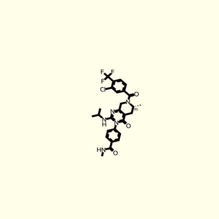 CNC(=O)c1ccc(-n2c(NC(C)C)nc3c(c2=O)C[C@@H](C)N(C(=O)c2ccc(C(F)(F)F)c(Cl)c2)C3)cc1